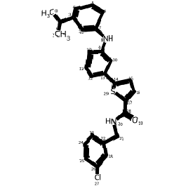 CC(C)c1cccc(Nc2cccc(-c3ccc(C(=O)NCc4cccc(Cl)c4)s3)c2)c1